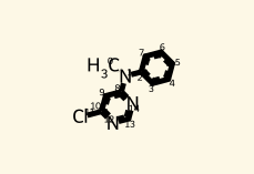 CN(c1ccccc1)c1cc(Cl)ncn1